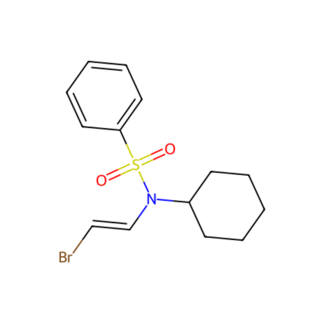 O=S(=O)(c1ccccc1)N(C=CBr)C1CCCCC1